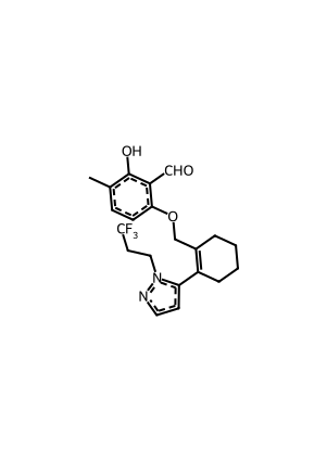 Cc1ccc(OCC2=C(c3ccnn3CCC(F)(F)F)CCCC2)c(C=O)c1O